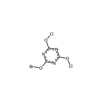 ClOc1nc(OCl)nc(OBr)n1